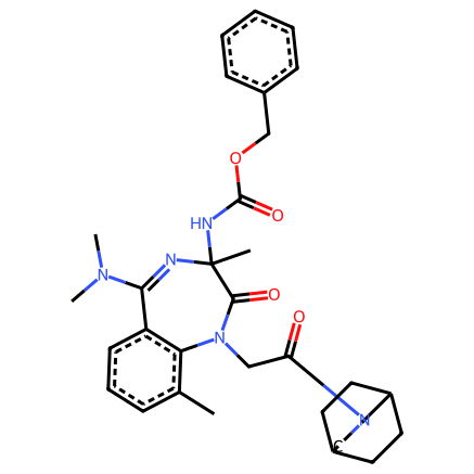 Cc1cccc2c1N(CC(=O)N1CC3CCC(CC3)C1)C(=O)C(C)(NC(=O)OCc1ccccc1)N=C2N(C)C